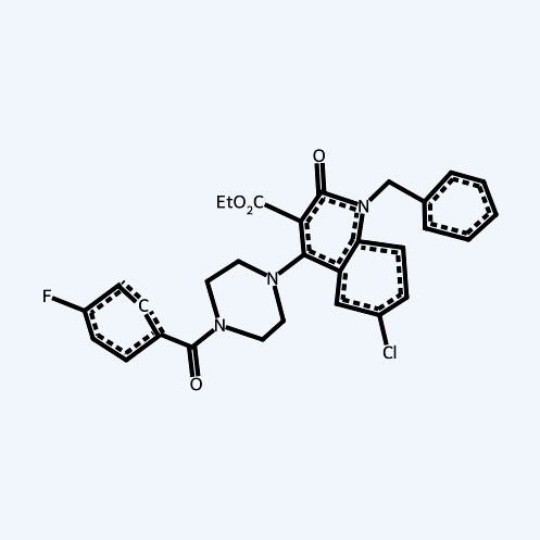 CCOC(=O)c1c(N2CCN(C(=O)c3ccc(F)cc3)CC2)c2cc(Cl)ccc2n(Cc2ccccc2)c1=O